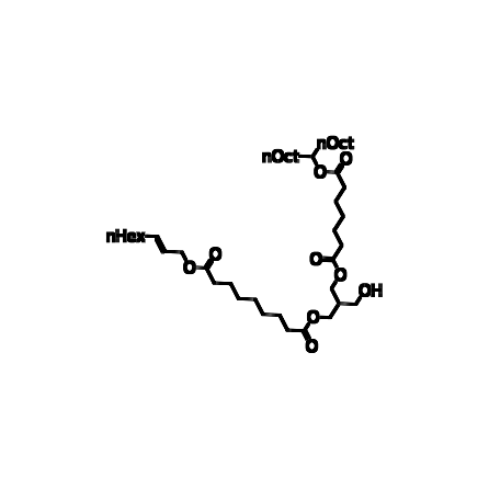 CCCCCCC=CCOC(=O)CCCCCCCC(=O)OCC(CO)COC(=O)CCCCCC(=O)OC(CCCCCCCC)CCCCCCCC